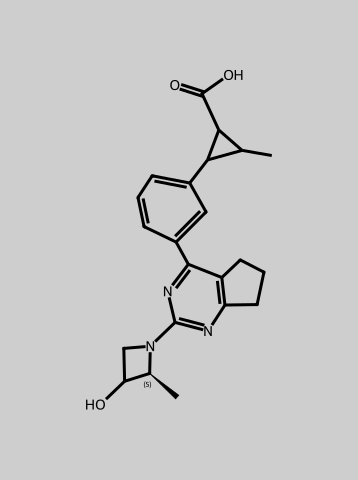 CC1C(C(=O)O)C1c1cccc(-c2nc(N3CC(O)[C@@H]3C)nc3c2CCC3)c1